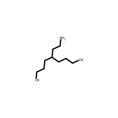 N#CCCCC(CCN)CCCC#N